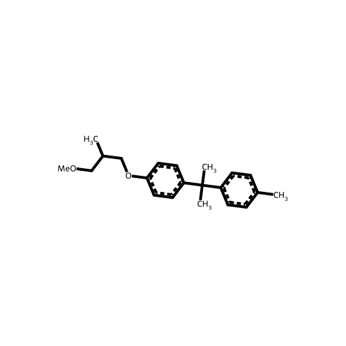 COCC(C)COc1ccc(C(C)(C)c2ccc(C)cc2)cc1